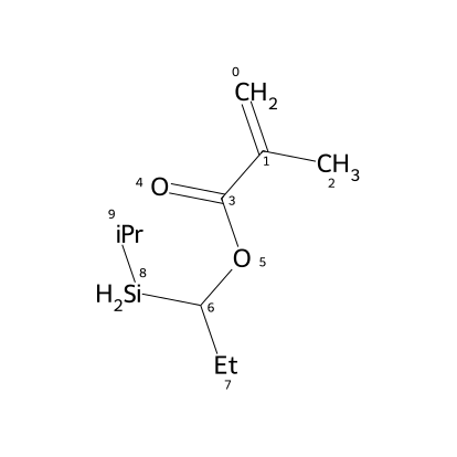 C=C(C)C(=O)OC(CC)[SiH2]C(C)C